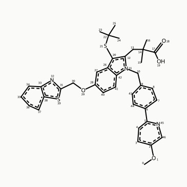 COc1ccc(-c2ccc(Cn3c(CC(C)(C)C(=O)O)c(SC(C)(C)C)c4cc(OCc5nc6ccccc6s5)ccc43)cc2)nc1